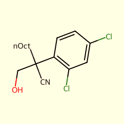 CCCCCCCCC(C#N)(CO)c1ccc(Cl)cc1Cl